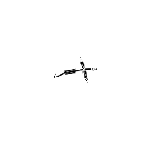 CCC#CS([O])(=O)=O